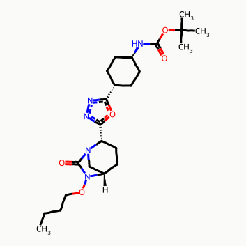 CCCCON1C(=O)N2C[C@@H]1CC[C@H]2c1nnc([C@H]2CC[C@H](NC(=O)OC(C)(C)C)CC2)o1